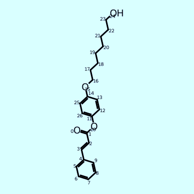 O=C(C=Cc1ccccc1)Oc1ccc(OCCCCCCCCO)cc1